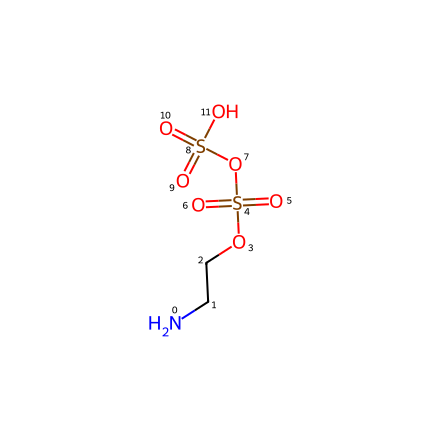 NCCOS(=O)(=O)OS(=O)(=O)O